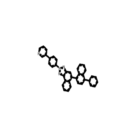 c1ccc(-c2ccc(-c3cc4nn(-c5ccc(-c6cccnc6)cc5)nc4c4ccccc34)c3ccccc23)cc1